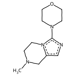 CN1CCn2c(cnc2N2CCOCC2)C1